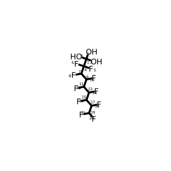 OC(O)(O)C(F)(F)C(F)C(F)C(F)C(F)C(F)C(F)C(F)F